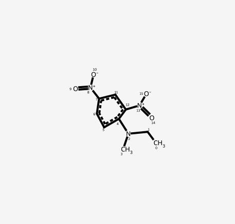 CCN(C)c1ccc([N+](=O)[O-])cc1[N+](=O)[O-]